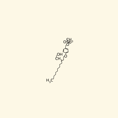 CCCCCCCCCCCCCOc1ccc(COS(C)(=O)=O)cc1.CCO